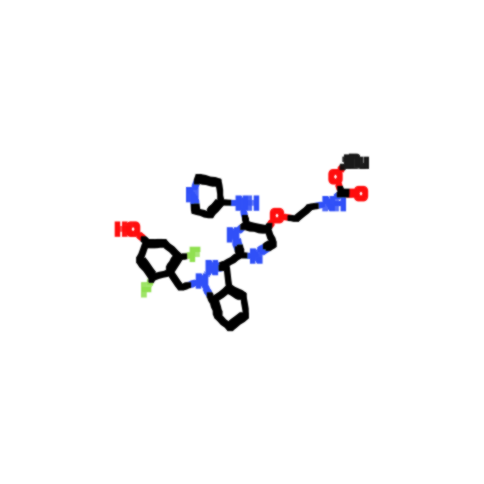 CC(C)(C)OC(=O)NCCOc1cnc(-c2nn(Cc3c(F)cc(O)cc3F)c3ccccc23)nc1Nc1ccncc1